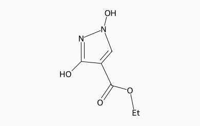 CCOC(=O)c1cn(O)nc1O